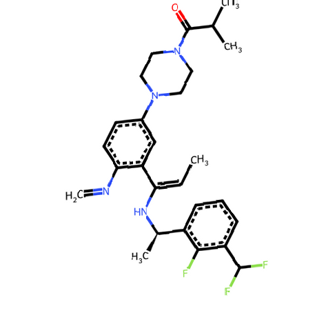 C=Nc1ccc(N2CCN(C(=O)C(C)C)CC2)cc1/C(=C\C)N[C@H](C)c1cccc(C(F)F)c1F